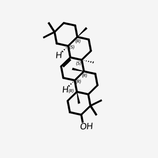 CC1(C)CC[C@]2(C)CC[C@]3(C)C(=CC[C@@H]4[C@@]5(C)CCC(O)C(C)(C)C5CC[C@]43C)[C@H]2C1